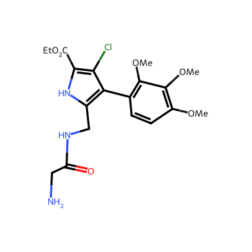 CCOC(=O)c1[nH]c(CNC(=O)CN)c(-c2ccc(OC)c(OC)c2OC)c1Cl